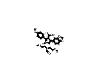 COCCN(C=O)CCOC.COc1ccc(C2C(C(=O)O)C(c3ccc4c(c3)OCO4)CN2C)cc1